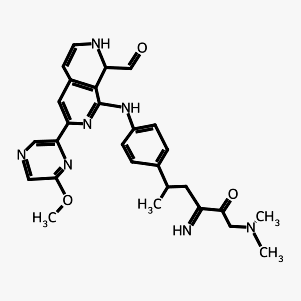 COc1cncc(-c2cc3c(c(Nc4ccc(C(C)CC(=N)C(=O)CN(C)C)cc4)n2)C(C=O)NC=C3)n1